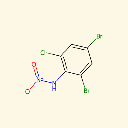 O=[N+]([O-])Nc1c(Cl)cc(Br)cc1Br